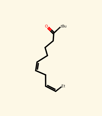 CC/C=C\C/C=C\CCCC(=O)C(C)(C)C